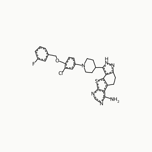 Nc1ncnc2sc3c(c12)CCc1n[nH]c(C2CCN(c4ccc(OCc5cccc(F)c5)c(Cl)c4)CC2)c1-3